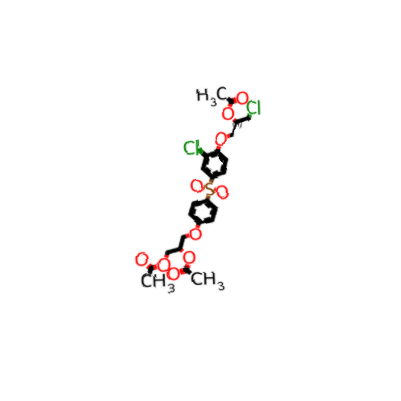 CC(=O)OCC(COc1ccc(S(=O)(=O)c2ccc(OC[C@H](CCl)OC(C)=O)c(Cl)c2)cc1)OC(C)=O